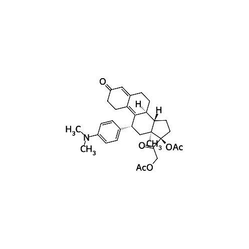 CC(=O)OCC(=O)[C@@]1(OC(C)=O)CC[C@H]2[C@@H]3CCC4=CC(=O)CCC4=C3[C@@H](c3ccc(N(C)C)cc3)C[C@@]21C